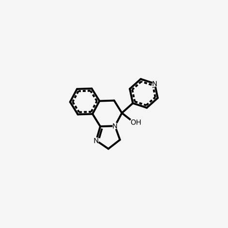 OC1(c2ccncc2)Cc2ccccc2C2=NCCN21